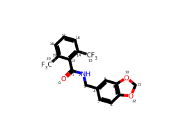 O=C(NCc1ccc2c(c1)OCO2)c1c(C(F)(F)F)cccc1C(F)(F)F